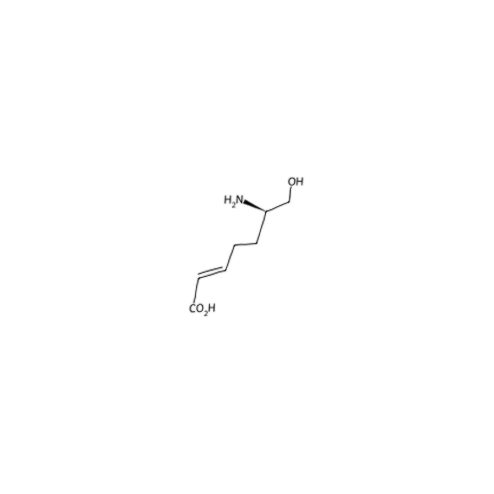 N[C@@H](CO)CCC=CC(=O)O